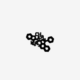 CC1=C([Si](C)(C)C2C=C(c3ccccc3)c3c2ccc2ccccc32)C(C)c2ccccc21